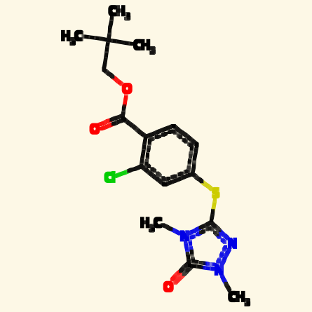 Cn1nc(Sc2ccc(C(=O)OCC(C)(C)C)c(Cl)c2)n(C)c1=O